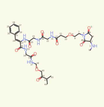 CNC1CC(=O)N(CCOCCC(=O)NCC(=O)NCC(=O)N/C(=C\c2ccccc2)C(=O)NCC(=O)NCOCC(=O)C(C)C)C1=O